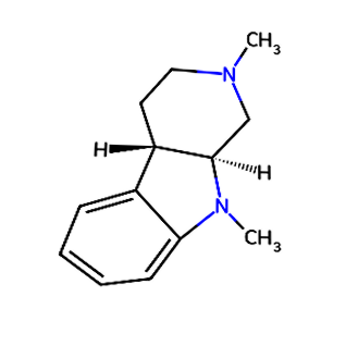 CN1CC[C@H]2c3ccccc3N(C)[C@@H]2C1